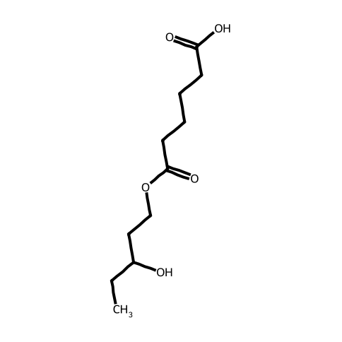 CCC(O)CCOC(=O)CCCCC(=O)O